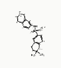 CC1(C)CCc2cc(S(=O)(=O)Nc3ccc4c(c3)CNCC4)ccc2O1.Cl